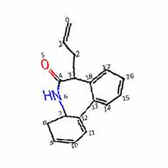 C=CCC1C(=O)NC2CC=CC=C2c2ccccc21